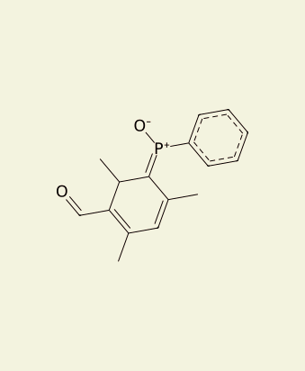 CC1=CC(C)=C(C=O)C(C)/C1=[P+](\[O-])c1ccccc1